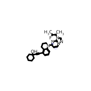 CC(F)[C@@H](C)n1cnnc1/N=C(\C=C/F)N1CCCc2c(C#CC3(O)CCCCC3)cccc21